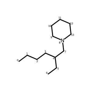 CCCCC(CC)CN1CCCCC1